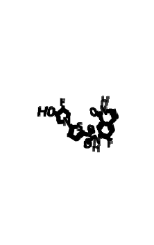 O=c1[nH]ccc2cc(F)c(NS(=O)(=O)c3ccc(N4CC(O)C(F)C4)s3)cc12